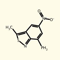 Cc1snc2c(P)cc([N+](=O)[O-])cc12